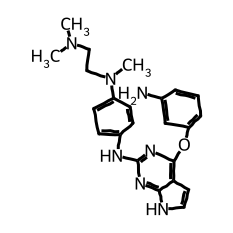 CN(C)CCN(C)c1ccc(Nc2nc(Oc3cccc(N)c3)c3cc[nH]c3n2)cc1